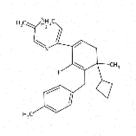 C=C(N)/C=N\C(=C/C)C1=CCC(C)(C2CCC2)C(Cc2ccc(C)cc2)=C1F